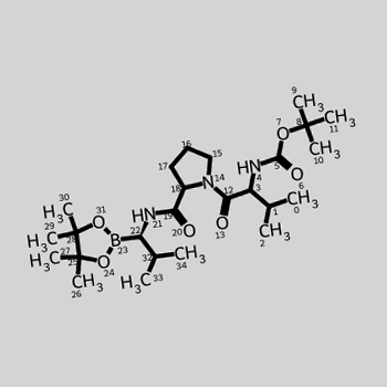 CC(C)C(NC(=O)OC(C)(C)C)C(=O)N1CCCC1C(=O)N[C@H](B1OC(C)(C)C(C)(C)O1)C(C)C